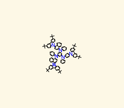 CC(C)(C)c1ccc2c(c1)c1cc(C(C)(C)C)ccc1n2-c1ccc(N(c2ccccc2)c2cc(N(c3ccccc3)c3ccc(-n4c5ccc(C(C)(C)C)cc5c5cc(C(C)(C)C)ccc54)c4ccccc34)cc(N(c3ccccc3)c3ccc(-n4c5ccc(C(C)(C)C)cc5c5cc(C(C)(C)C)ccc54)c4ccccc34)c2)cc1